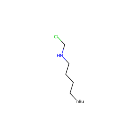 CCCCCCCCNCCl